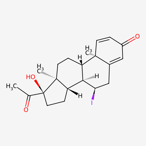 CC(=O)[C@@]1(O)CC[C@H]2[C@@H]3[C@H](I)CC4=CC(=O)C=C[C@]4(C)[C@H]3CC[C@@]21C